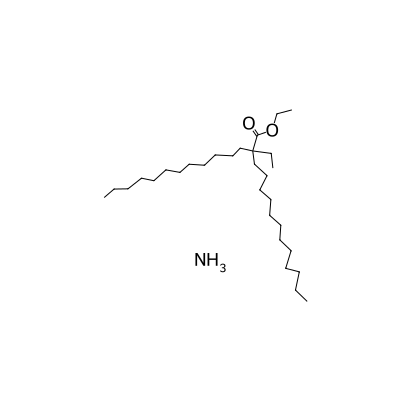 CCCCCCCCCCCCC(CC)(CCCCCCCCCCCC)C(=O)OCC.N